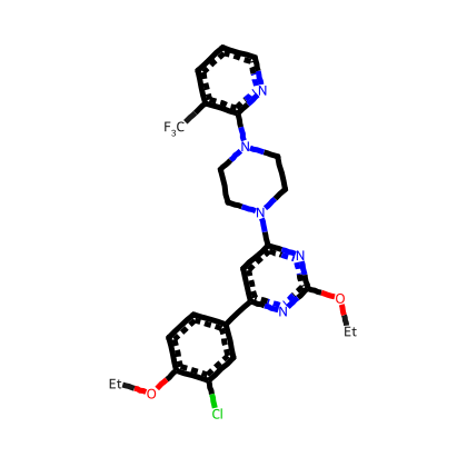 CCOc1nc(-c2ccc(OCC)c(Cl)c2)cc(N2CCN(c3ncccc3C(F)(F)F)CC2)n1